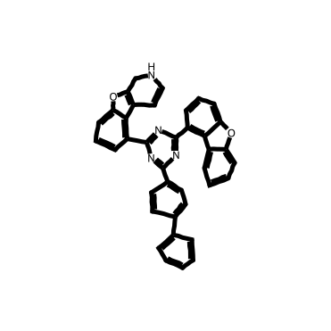 C1=Cc2c(oc3cccc(-c4nc(-c5ccc(-c6ccccc6)cc5)nc(-c5cccc6oc7ccccc7c56)n4)c23)CN1